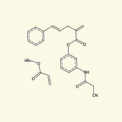 C=C(CC=Cc1ccccc1)C(=O)Oc1cccc(NC(=O)CC#N)c1.C=CC(=O)OCCCC